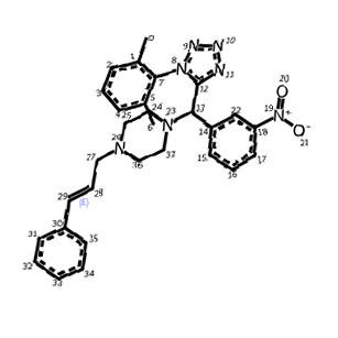 Cc1cccc(C)c1-n1nnnc1C(c1cccc([N+](=O)[O-])c1)N1CCN(C/C=C/c2ccccc2)CC1